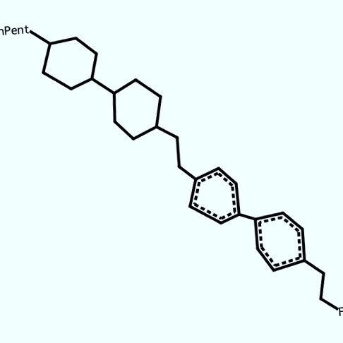 CCCCCC1CCC(C2CCC(CCc3ccc(-c4ccc(CCF)cc4)cc3)CC2)CC1